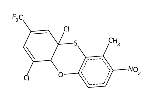 Cc1c([N+](=O)[O-])ccc2c1SC1(Cl)C=C(C(F)(F)F)C=C(Cl)C1O2